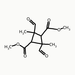 COC(=O)C1C(C)(C=O)C(C(=O)OC)C1(C)C=O